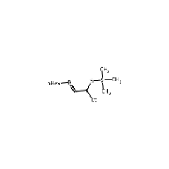 CCCCCCN=CC(CC)S[Si](C)(C)C